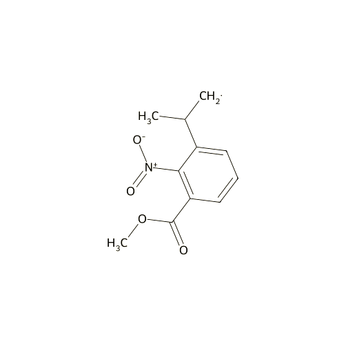 [CH2]C(C)c1cccc(C(=O)OC)c1[N+](=O)[O-]